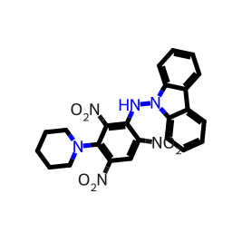 O=[N+]([O-])c1cc([N+](=O)[O-])c(N2CCCCC2)c([N+](=O)[O-])c1Nn1c2ccccc2c2ccccc21